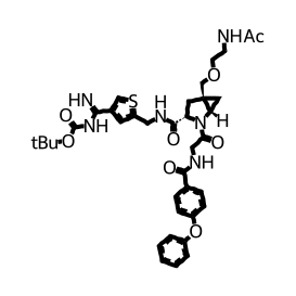 CC(=O)NCCOC[C@@]12C[C@@H]1N(C(=O)CNC(=O)c1ccc(Oc3ccccc3)cc1)[C@H](C(=O)NCc1cc(C(=N)NC(=O)OC(C)(C)C)cs1)C2